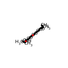 CCCC(C)C(=O)NCCOCCOCCOCCOCCOCCOCC(=O)C(C)CC